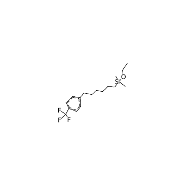 CCO[Si](C)(C)CCCCCCc1ccc(C(F)(F)F)cc1